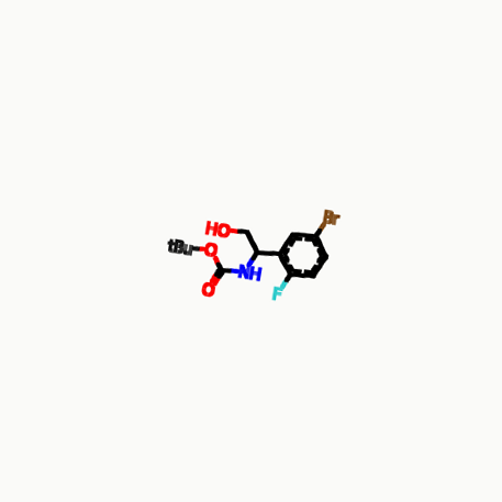 CC(C)(C)OC(=O)NC(CO)c1cc(Br)ccc1F